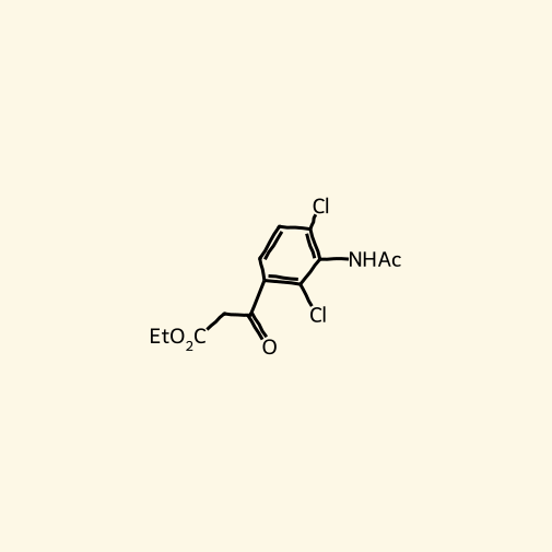 CCOC(=O)CC(=O)c1ccc(Cl)c(NC(C)=O)c1Cl